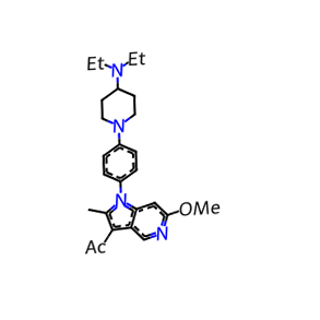 CCN(CC)C1CCN(c2ccc(-n3c(C)c(C(C)=O)c4cnc(OC)cc43)cc2)CC1